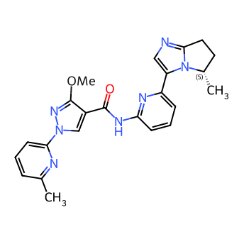 COc1nn(-c2cccc(C)n2)cc1C(=O)Nc1cccc(-c2cnc3n2[C@@H](C)CC3)n1